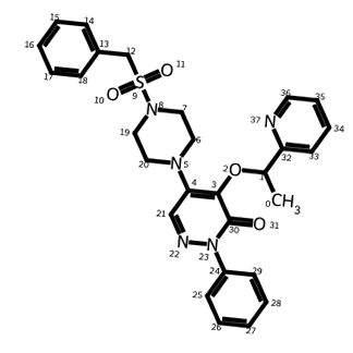 CC(Oc1c(N2CCN(S(=O)(=O)Cc3ccccc3)CC2)cnn(-c2ccccc2)c1=O)c1ccccn1